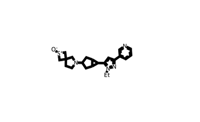 CCn1nc(-c2cccnc2)cc1C1C2CC(N3CCC4(C3)C[S+]([O-])C4)CC21